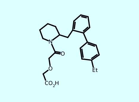 CCc1ccc(-c2ccccc2CC2CCCCN2C(=O)COCC(=O)O)cc1